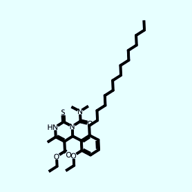 CCCCCCCCCCCCCCCc1cccc(OCC)c1C1C(C(=O)OCC)=C(C)NC(=S)N1C(=O)N(C)C